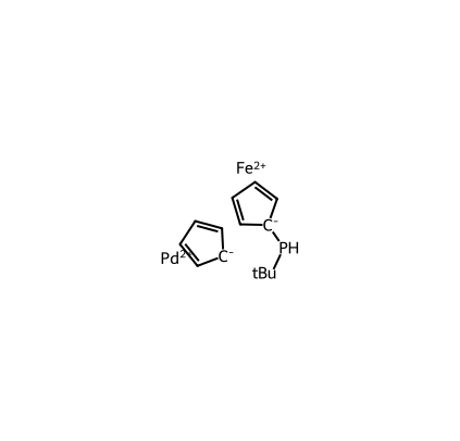 CC(C)(C)P[c-]1cccc1.[Fe+2].[Pd+2].c1cc[cH-]c1